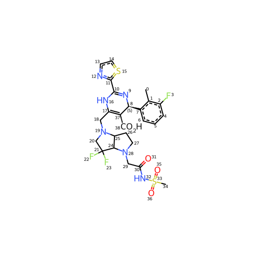 Cc1c(F)cccc1[C@@H]1N=C(c2nccs2)NC(CN2CC(F)(F)C3C2CCN3CC(=O)NS(C)(=O)=O)=C1C(=O)O